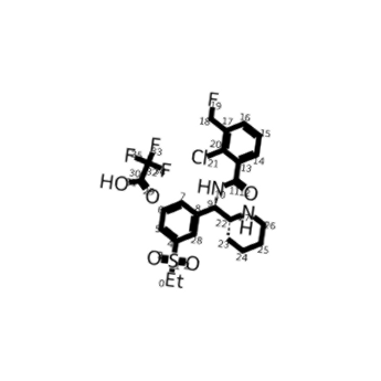 CCS(=O)(=O)c1cccc([C@H](NC(=O)c2cccc(CF)c2Cl)[C@H]2CCCCN2)c1.O=C(O)C(F)(F)F